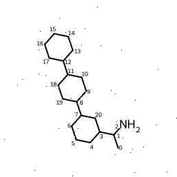 CC(N)C1CCCC(C2CCC(C3CCCCC3)CC2)C1